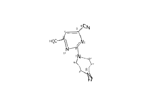 Cc1cc(C#N)nc(N2CCNCC2)n1